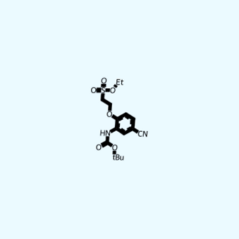 CCOS(=O)(=O)CCOc1ccc(C#N)cc1NC(=O)OC(C)(C)C